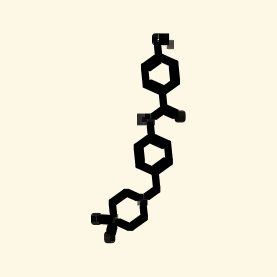 Cc1ccc(C(=O)Nc2ccc(CN3CCS(=O)(=O)CC3)cc2)cc1